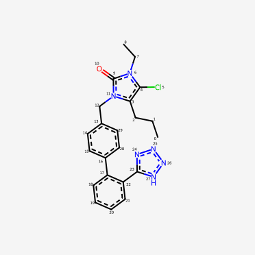 CCCc1c(Cl)n(CC)c(=O)n1Cc1ccc(-c2ccccc2-c2nnn[nH]2)cc1